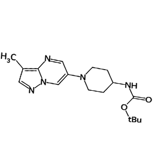 Cc1cnn2cc(N3CCC(NC(=O)OC(C)(C)C)CC3)cnc12